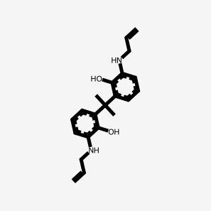 C=CCNc1cccc(C(C)(C)c2cccc(NCC=C)c2O)c1O